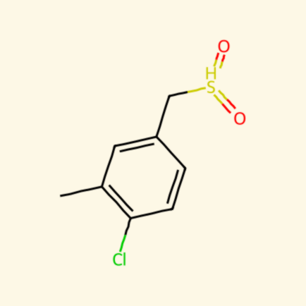 Cc1cc(C[SH](=O)=O)ccc1Cl